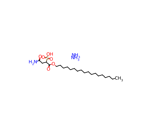 CCCCCCCCCCCCCCCCCCOC(=O)C(CC(N)=O)S(=O)(=O)O.N.N